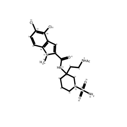 CC(=O)NCCC1(NC(=O)c2cc3c(Cl)c(Cl)ccc3n2C)CCCN(S(N)(=O)=O)C1